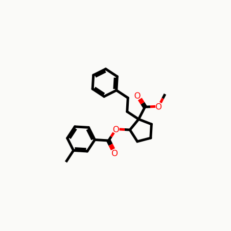 COC(=O)C1(CCc2ccccc2)CCCC1OC(=O)c1cccc(C)c1